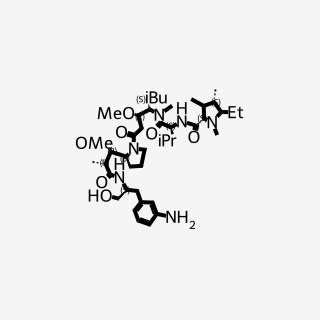 CCC1[C@@H](C)C(C)[C@@H](C(=O)N[C@H](C(=O)N(C)C([C@@H](C)CC)[C@@H](CC(=O)N2CCC[C@H]2[C@H](OC)[C@@H](C)C(=O)N[C@H](CO)Cc2cccc(N)c2)OC)C(C)C)N1C